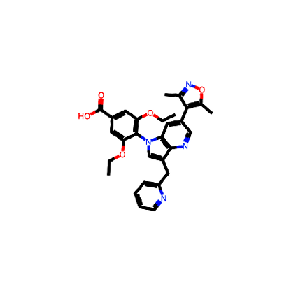 CCOc1cc(C(=O)O)cc(OCC)c1-n1cc(Cc2ccccn2)c2ncc(-c3c(C)noc3C)cc21